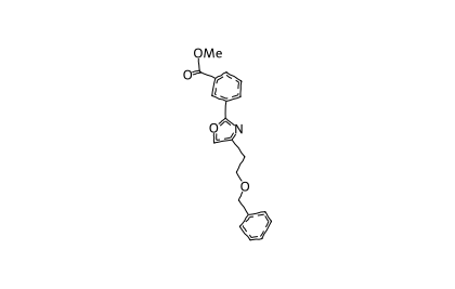 COC(=O)c1cccc(-c2nc(CCOCc3ccccc3)co2)c1